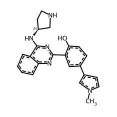 Cn1ccc(-c2ccc(O)c(-c3nc(N[C@H]4CCNC4)c4ccccc4n3)c2)c1